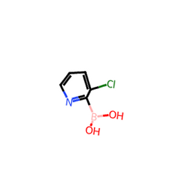 OB(O)c1ncccc1Cl